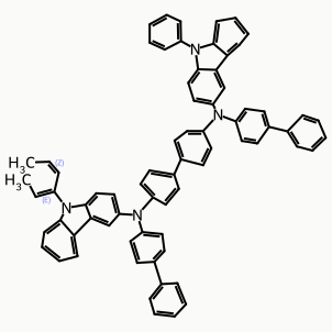 C/C=C\C(=C/C)n1c2ccccc2c2cc(N(c3ccc(-c4ccccc4)cc3)c3ccc(-c4ccc(N(c5ccc(-c6ccccc6)cc5)c5ccc6c(c5)c5ccccc5n6-c5ccccc5)cc4)cc3)ccc21